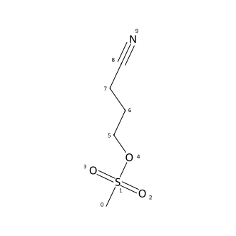 CS(=O)(=O)OCCCC#N